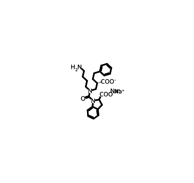 NCCCCN(C[C@H](CCc1ccccc1)C(=O)[O-])C(=O)N1c2ccccc2CC1C(=O)[O-].[Na+].[Na+]